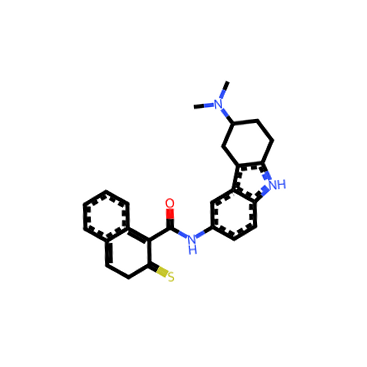 CN(C)C1CCc2[nH]c3ccc(NC(=O)C4=c5ccccc5=CCC4=S)cc3c2C1